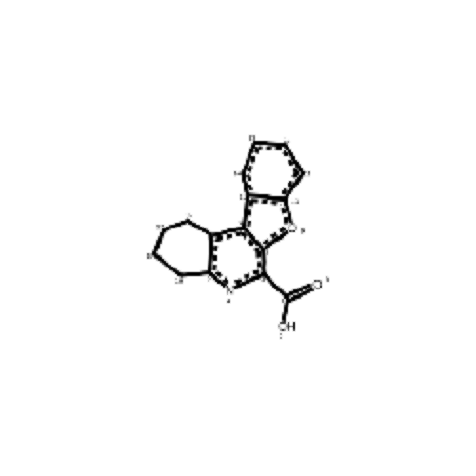 O=C(O)c1nc2c(c3c1oc1ccccc13)CCCC2